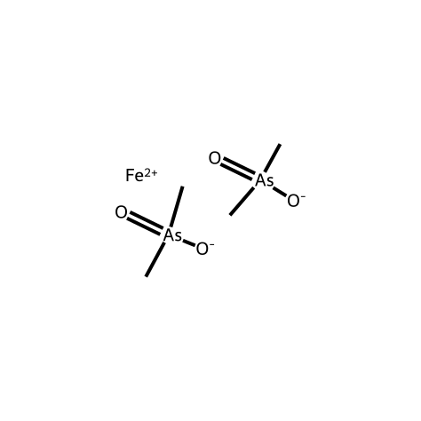 C[As](C)(=O)[O-].C[As](C)(=O)[O-].[Fe+2]